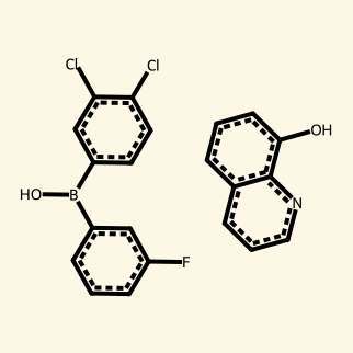 OB(c1cccc(F)c1)c1ccc(Cl)c(Cl)c1.Oc1cccc2cccnc12